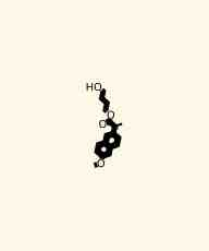 COc1ccc2cc([C@H](C)C(=O)OCCCCO)ccc2c1